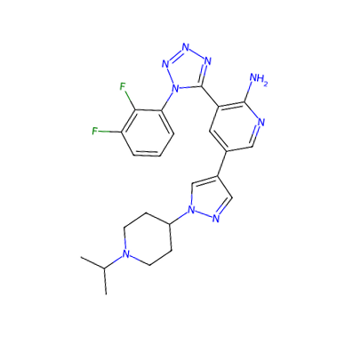 CC(C)N1CCC(n2cc(-c3cnc(N)c(-c4nnnn4-c4cccc(F)c4F)c3)cn2)CC1